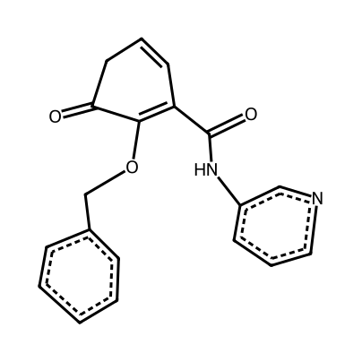 O=C1CC=CC(C(=O)Nc2cccnc2)=C1OCc1ccccc1